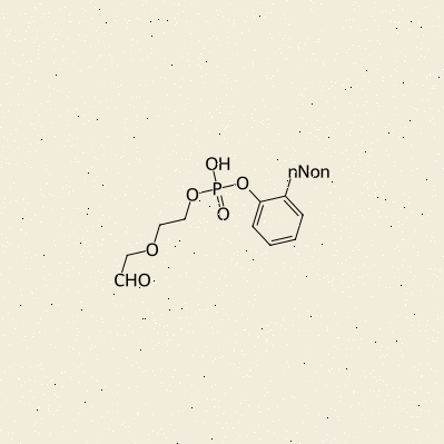 CCCCCCCCCc1ccccc1OP(=O)(O)OCCOCC=O